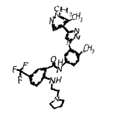 Cc1ccc(NC(=O)c2cc(C(F)(F)F)ccc2NCCN2CCCC2)cc1-n1cc(-c2cnn(C)c2C)nn1